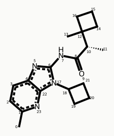 Cc1ccc2nc(NC(=O)[C@@H](C)C3(C)CCC3)n(C3CCC3)c2n1